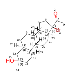 CC(=O)[C@@]1(Br)CC[C@H]2[C@@H]3CC[C@@H]4C[C@](C)(O)CC[C@@H]4[C@H]3CC[C@@]21C